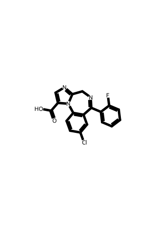 O=C(O)c1cnc2n1-c1ccc(Cl)cc1C(c1ccccc1F)=NC2